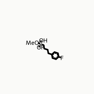 CO[Si](O)(O)CCCCc1ccc(F)cc1